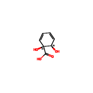 O=C(O)[C@]1(O)C=CC=C[C@H]1O